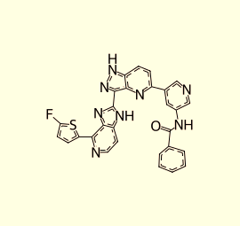 O=C(Nc1cncc(-c2ccc3[nH]nc(-c4nc5c(-c6ccc(F)s6)nccc5[nH]4)c3n2)c1)c1ccccc1